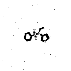 CCN(c1ccsc1)S(=O)(=O)c1ccccc1